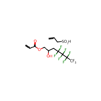 C=CC(=O)OCC(O)CC(F)(F)C(F)(F)C(F)(F)C(F)(F)F.C=CCS(=O)(=O)O